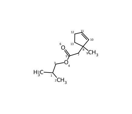 CC(C)COC(=O)CC1(C)C=CCC1